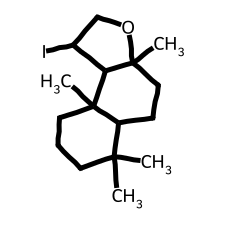 CC1(C)CCCC2(C)C1CCC1(C)OCC(I)C12